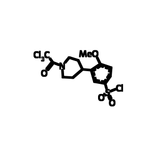 COc1ccc(S(=O)(=O)Cl)cc1C1CCN(C(=O)C(Cl)(Cl)Cl)CC1